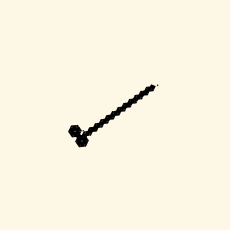 [CH2]CCCCCCCCCCCCCCCCCCCCCCCCc1ccccc1-c1[c]cccc1